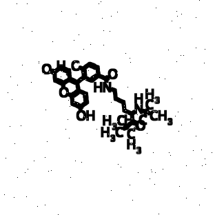 Cc1ccc(C(=O)NCCCCC(NC(C)(C)C)C(=O)C(C)(C)C)cc1-c1c2ccc(=O)cc-2oc2cc(O)ccc12